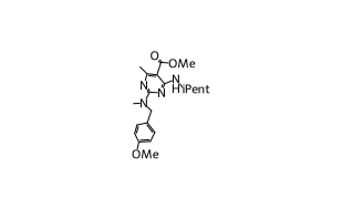 CCCC(C)Nc1nc(N(C)Cc2ccc(OC)cc2)nc(C)c1C(=O)OC